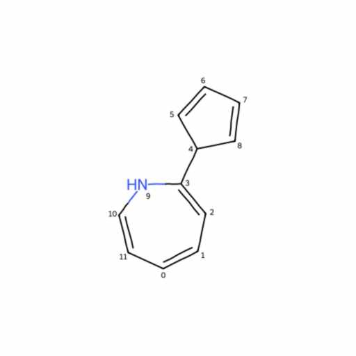 C1=CC=C(C2C=CC=C2)NC=C1